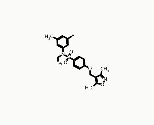 Cc1cc(F)cc(N(CC(C)C)S(=O)(=O)c2ccc(OCc3c(C)noc3C)cc2)c1